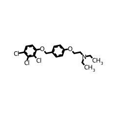 CCN(CC)CCOc1ccc(COc2ccc(Cl)c(Cl)c2Cl)cc1